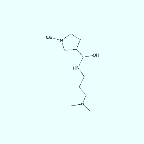 CN(C)CCCNC(O)C1CCN(C(C)(C)C)C1